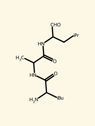 CCC(C)C(N)C(=O)NC(C)C(=O)NC(C=O)CC(C)C